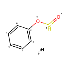 O=[SH]Oc1ccccc1.[LiH]